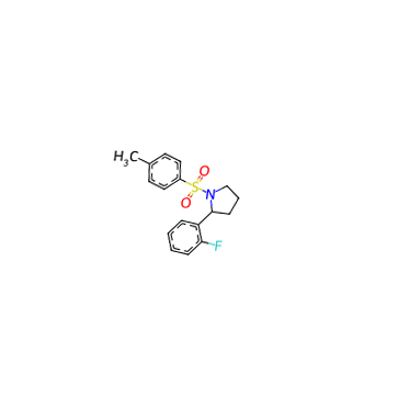 Cc1ccc(S(=O)(=O)N2CCCC2c2ccccc2F)cc1